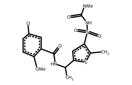 CNC(=O)NS(=O)(=O)c1cc(C(C)NC(=O)c2cc(Cl)ccc2OC)sc1C